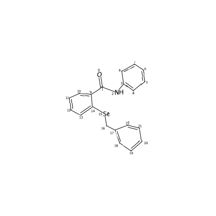 O=C(Nc1ccccc1)c1ccccc1[Se]Cc1ccccc1